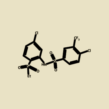 CCS(=O)(=O)c1ccc(Cl)cc1NS(=O)(=O)c1ccc(Cl)c(C(F)(F)F)c1